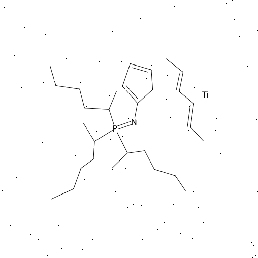 CC=CC=CC.CCCCC(C)P(=NC1=CC=CC1)(C(C)CCCC)C(C)CCCC.[Ti]